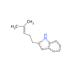 CC(C)=CCCc1cc2ccccc2[nH]1